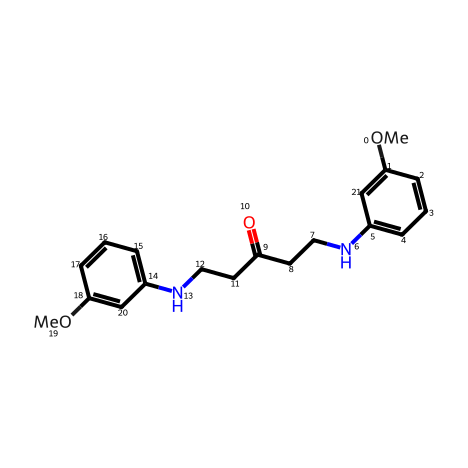 COc1cccc(NCCC(=O)CCNc2cccc(OC)c2)c1